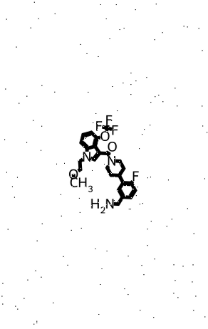 COCCn1cc(C(=O)N2CCC(c3cc(CN)ccc3F)CC2)c2c(OC(F)(F)F)cccc21